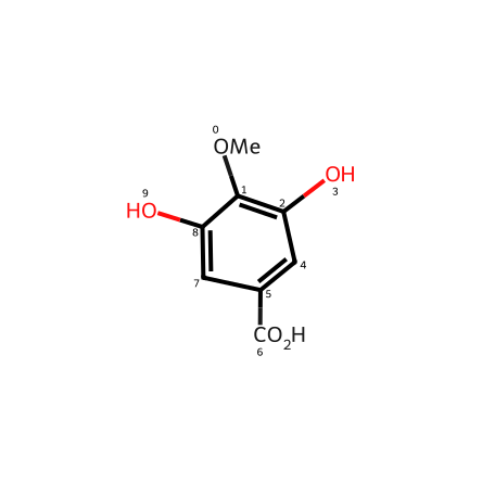 COc1c(O)cc(C(=O)O)cc1O